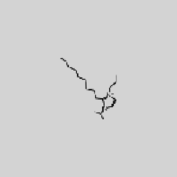 CCCCCCCCCc1n(C(C)C)cc[n+]1CCC